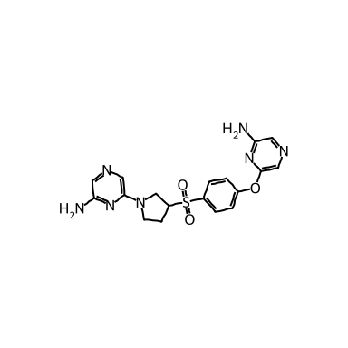 Nc1cncc(Oc2ccc(S(=O)(=O)C3CCN(c4cncc(N)n4)C3)cc2)n1